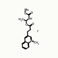 CC(NC(=O)OC(C)(C)C)OC(=O)CCc1cc2ccccc2[n+](C)c1.[I-]